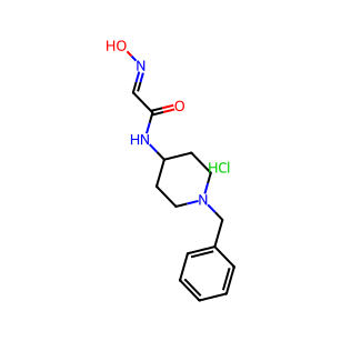 Cl.O=C(C=NO)NC1CCN(Cc2ccccc2)CC1